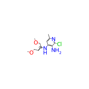 COCC[C@@H](COC)Nc1cc(C)nc(Cl)c1N